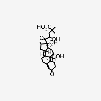 CC1C[C@H]2[C@@H]3CCC4=CC(=O)CC[C@]4(C)[C@H]3[C@@H](O)C[C@]2(C)[C@@]1(O)C(=O)C(O)CC(C)(C)C(=O)O